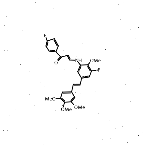 COc1cc(C=Cc2cc(F)c(OC)c(NC=CC(=O)c3ccc(F)cc3)c2)cc(OC)c1OC